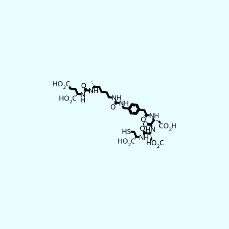 C[C@H](CCCCNC(=O)NCc1ccc(CC(=O)N[C@H](CC(=O)O)C(=O)N[C@H](CC(=O)O)C(=O)N[C@@H](CS)C(=O)O)cc1)NC(=O)N[C@@H](CCC(=O)O)C(=O)O